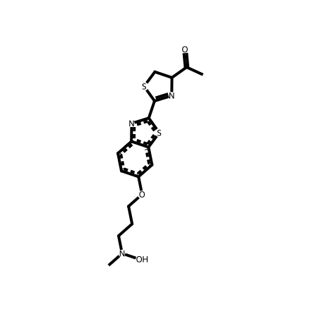 CC(=O)C1CSC(c2nc3ccc(OCCCN(C)O)cc3s2)=N1